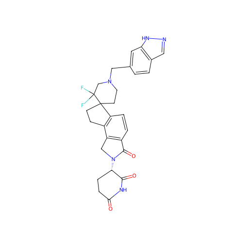 O=C1CC[C@H](N2Cc3c(ccc4c3CCC43CCN(Cc4ccc5cn[nH]c5c4)CC3(F)F)C2=O)C(=O)N1